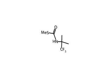 CSC(=O)NC(C)(C)C(F)(F)F